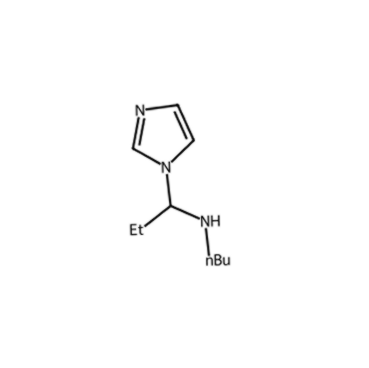 CCCCNC(CC)n1ccnc1